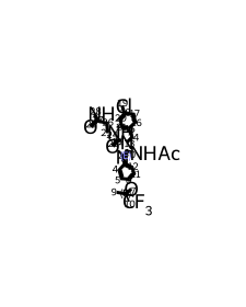 CC(=O)N/C(=N\c1ccc(O[C@H](C)C(F)(F)F)cc1)N(Cc1ccc(Cl)cc1)C(=O)NCCC(N)=O